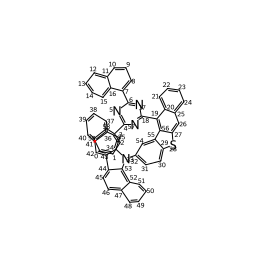 c1ccc(-c2nc(-c3cccc4ccccc34)nc(-c3c4ccccc4cc4sc5ccc(-n6c7cc8ccccc8cc7c7ccc8ccccc8c76)cc5c34)n2)cc1